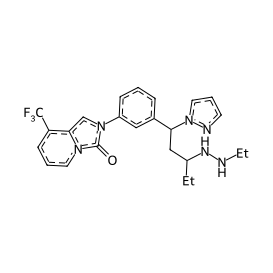 CCNNC(CC)CC(c1cccc(-n2cc3c(C(F)(F)F)cccn3c2=O)c1)n1cccn1